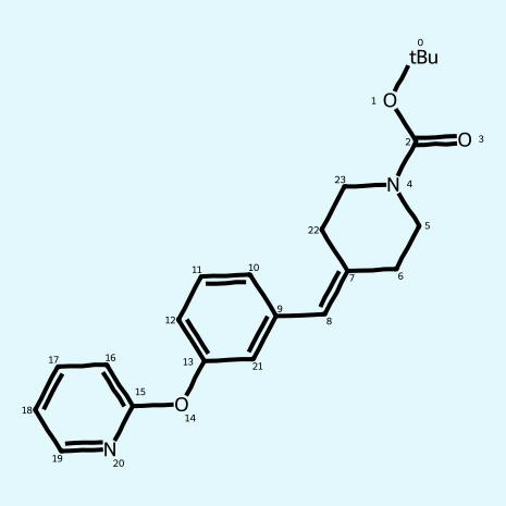 CC(C)(C)OC(=O)N1CCC(=Cc2cccc(Oc3ccccn3)c2)CC1